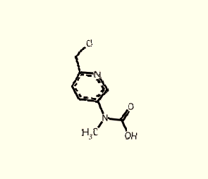 CN(C(=O)O)c1ccc(CCl)nc1